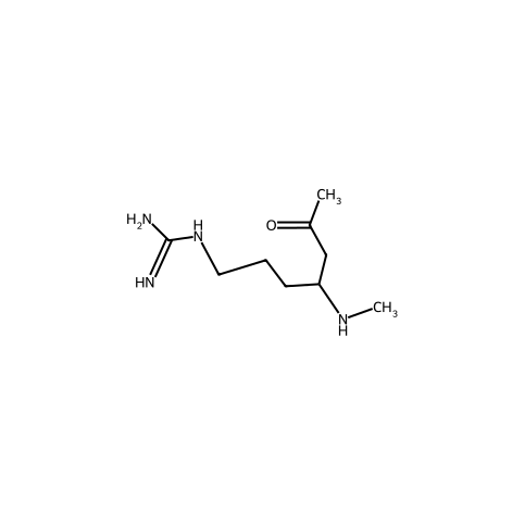 CNC(CCCNC(=N)N)CC(C)=O